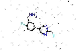 NCc1cc(-c2cnc(CF)nc2)ccc1F